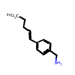 CCOC(=O)CCC=Cc1ccc(CN)cc1